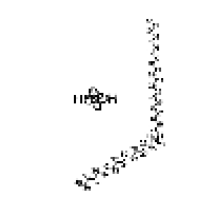 CCCCCCCCCCCCCCCCCCCCCC[N+](C)(C)CCCCCCCCCCCCCCCC.O=S(=O)(O)O